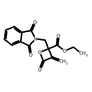 C=C1C(=O)OC1(CN1C(=O)c2ccccc2C1=O)C(=O)OCC